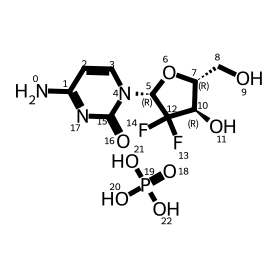 Nc1ccn([C@@H]2O[C@H](CO)[C@@H](O)C2(F)F)c(=O)n1.O=P(O)(O)O